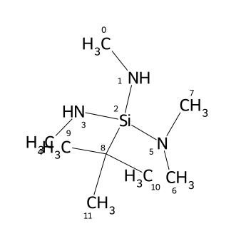 CN[Si](NC)(N(C)C)C(C)(C)C